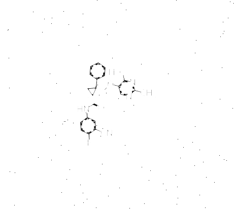 Cc1ncc(OC[C@@]2(c3ccccc3)C[C@H]2C(=O)Nc2ccc(F)c(C#N)c2)c(C)n1